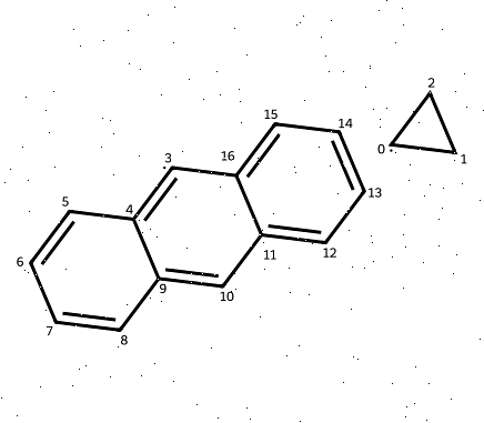 [CH]1CC1.[c]1c2ccccc2cc2ccccc12